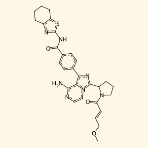 COCC=CC(=O)N1CCCC1c1nc(-c2ccc(C(=O)Nc3nc4c(s3)CCCC4)cc2)c2c(N)nccn12